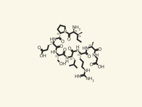 CC[C@H](C)[C@H](N)C(=O)N1CCC[C@H]1C(=O)N[C@@H](CCC(=O)O)C(=O)N[C@@H](CO)C(=O)N[C@@H](CC(C)C)C(=O)N[C@@H](CCCNC(=N)N)C(=O)N[C@@H](C)C(=O)NCC(=O)O